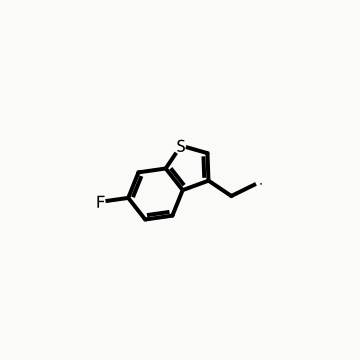 [CH2]Cc1csc2cc(F)ccc12